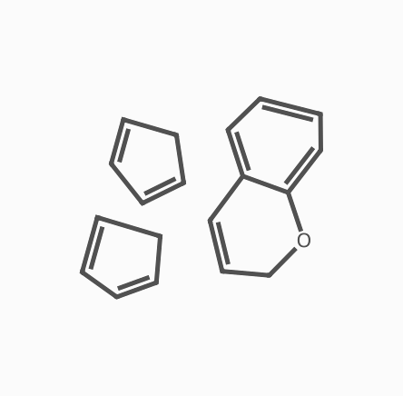 C1=CCC=C1.C1=CCC=C1.C1=Cc2ccccc2OC1